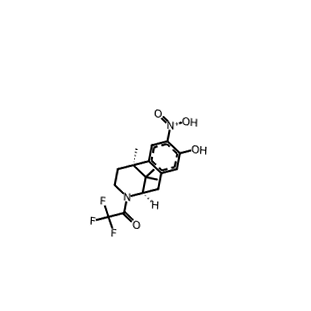 CC1(C)[C@H]2Cc3cc(O)c([N+](=O)O)cc3[C@]1(C)CCN2C(=O)C(F)(F)F